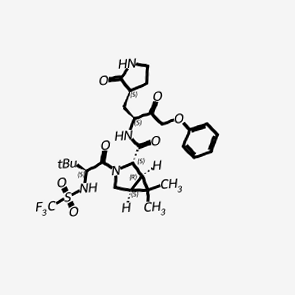 CC(C)(C)[C@H](NS(=O)(=O)C(F)(F)F)C(=O)N1C[C@H]2[C@@H]([C@H]1C(=O)N[C@@H](C[C@@H]1CCNC1=O)C(=O)COc1ccccc1)C2(C)C